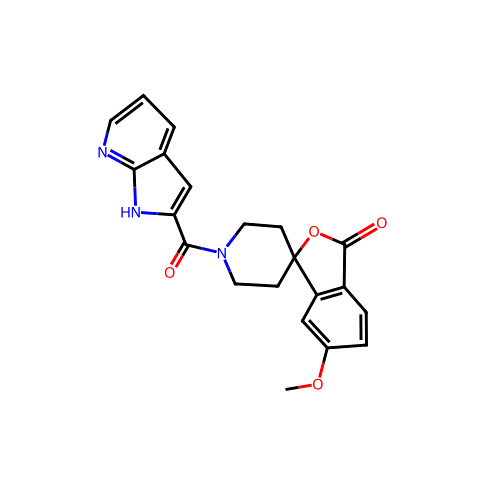 COc1ccc2c(c1)C1(CCN(C(=O)c3cc4cccnc4[nH]3)CC1)OC2=O